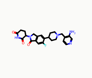 Nc1cnccc1CN1CCC(c2cc3c(cc2F)C(=O)N(C2CCC(=O)NC2=O)C3)CC1